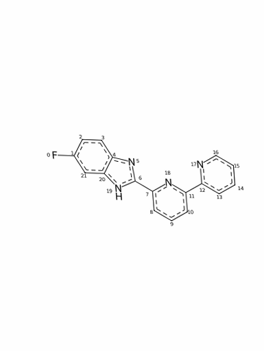 Fc1ccc2nc(-c3cccc(-c4ccccn4)n3)[nH]c2c1